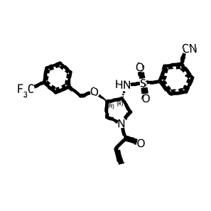 C=CC(=O)N1C[C@@H](NS(=O)(=O)c2cccc(C#N)c2)[C@H](OCc2cccc(C(F)(F)F)c2)C1